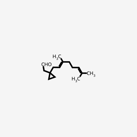 CC(C)=CCC/C(C)=C/CC1(CC=O)CC1